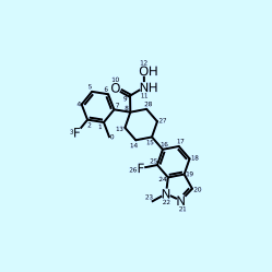 Cc1c(F)cccc1C1(C(=O)NO)CCC(c2ccc3cnn(C)c3c2F)CC1